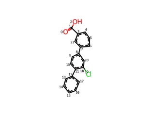 O=C(O)c1cccc(-c2ccc(-c3ccccc3)c(Cl)c2)c1